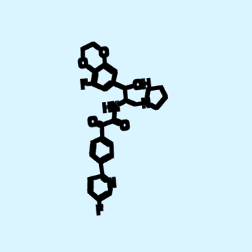 O=C(NC(CN1CCCC1)C(O)c1cc(F)c2c(c1)OCCO2)C(=O)c1ccc(-c2ccc(F)cn2)cc1